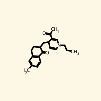 CCCN1C=CC(CC2CCc3cc(C)ccc3C2=O)C(C(C)=O)=C1